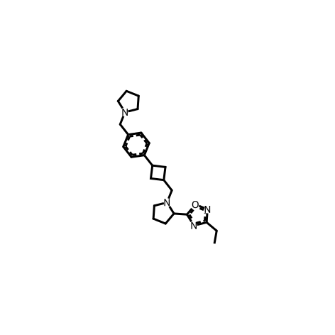 CCc1noc(C2CCCN2CC2CC(c3ccc(CN4CCCC4)cc3)C2)n1